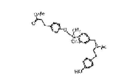 COC(=O)CCc1ccc(OC[Si](C)(C)c2ccc(CN(CCc3ccc(O)cc3)C(C)=O)cc2)cc1